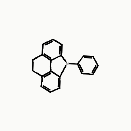 c1ccc(-n2c3cccc4c3c3c(cccc32)CC4)cc1